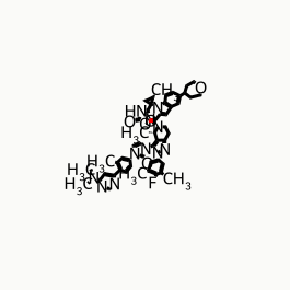 Cc1cc(-n2ccn(-c3c4c(nn3-c3cc(C)c(F)c(C)c3)CCN(C(=O)c3cc5cc(C6CCOCC6)ccc5n3[C@@]3(c5noc(=O)[nH]5)C[C@@H]3C)[C@H]4C)c2=O)ccc1-c1cc(N(C)C)ncn1